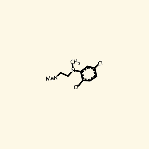 CNCCN(C)c1cc(Cl)ccc1Cl